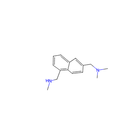 CNCc1cccc2cc(CN(C)C)ccc12